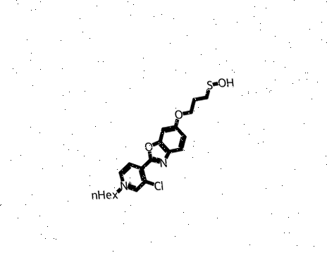 CCCCCC[n+]1ccc(-c2nc3ccc(OCCCSO)cc3o2)c(Cl)c1